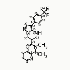 CC(c1ccccn1)N(C)C(=O)C1CNc2c(-c3ccc(C(F)(F)I)cc3)cnn2C1